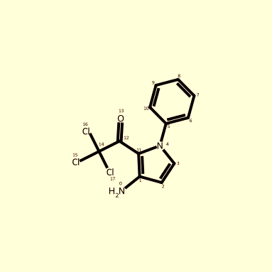 Nc1ccn(-c2ccccc2)c1C(=O)C(Cl)(Cl)Cl